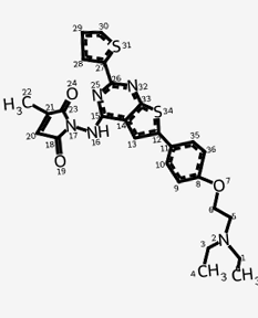 CCN(CC)CCOc1ccc(-c2cc3c(NN4C(=O)C=C(C)C4=O)nc(-c4cccs4)nc3s2)cc1